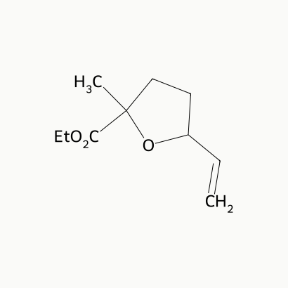 C=CC1CCC(C)(C(=O)OCC)O1